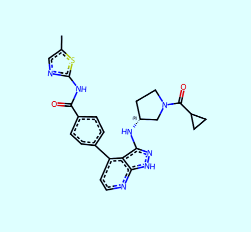 Cc1cnc(NC(=O)c2ccc(-c3ccnc4[nH]nc(N[C@@H]5CCN(C(=O)C6CC6)C5)c34)cc2)s1